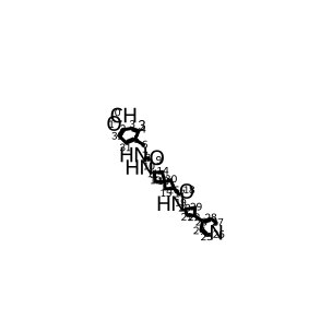 COc1ccc(CNC(=O)NC2CC3(C2)CC(C(=O)NC2CC(c4ccncc4)C2)C3)cc1